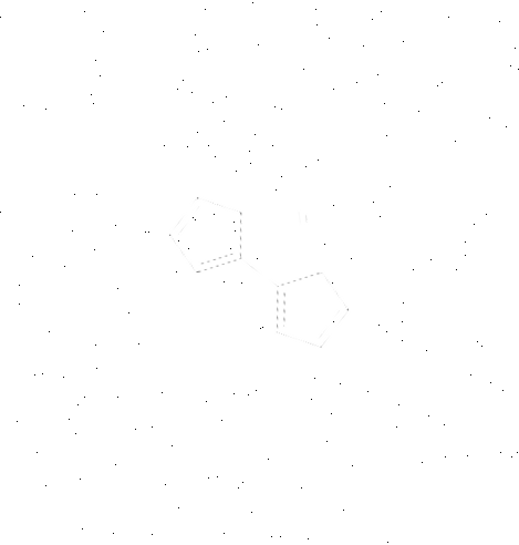 C1=CCC(C2=CC=CC2)=C1.[Ti]